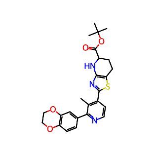 Cc1c(-c2nc3c(s2)CCC(C(=O)OC(C)(C)C)N3)ccnc1-c1ccc2c(c1)OCCO2